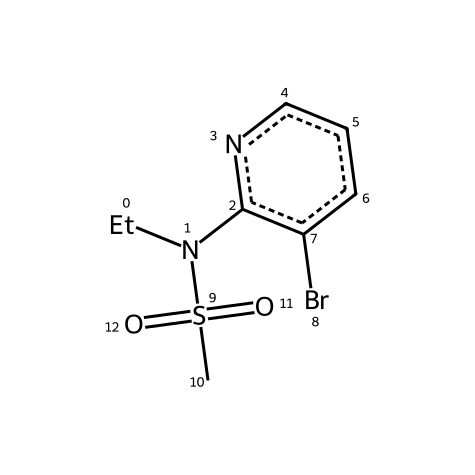 CCN(c1ncccc1Br)S(C)(=O)=O